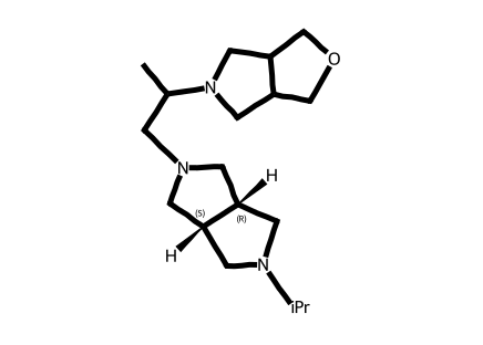 CC(C)N1C[C@H]2CN(CC(C)N3CC4COCC4C3)C[C@H]2C1